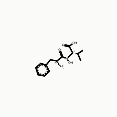 CC(C)[C@@H](C(=O)O)N(O)C(=O)[C@@H](N)Cc1ccccc1